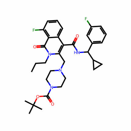 CCCn1c(CN2CCN(C(=O)OC(C)(C)C)CC2)c(C(=O)NC(c2cccc(F)c2)C2CC2)c2cccc(F)c2c1=O